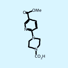 COC(=O)c1ccc(N2CCN(C(=O)O)CC2)nc1